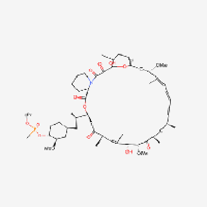 CCCOP(C)(=O)O[C@@H]1CC[C@@H](C[C@@H](C)[C@@H]2CC(=O)[C@H](C)/C=C(\C)[C@@H](O)[C@@H](OC)C(=O)[C@H](C)C[C@H](C)/C=C/C=C/C=C(\C)[C@@H](OC)C[C@@H]3CCC(C)C(O)(O3)C(=O)C(=O)N3CCCCC3C(=O)O2)C[C@H]1OC